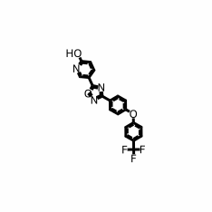 Oc1ccc(-c2nc(-c3ccc(Oc4ccc(C(F)(F)F)cc4)cc3)no2)cn1